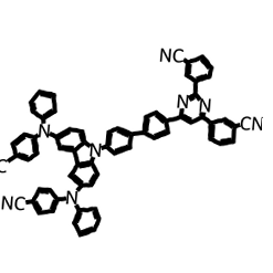 N#Cc1ccc(N(c2ccccc2)c2ccc3c(c2)c2cc(N(c4ccccc4)c4ccc(C#N)cc4)ccc2n3-c2ccc(-c3ccc(-c4cc(-c5cccc(C#N)c5)nc(-c5cccc(C#N)c5)n4)cc3)cc2)cc1